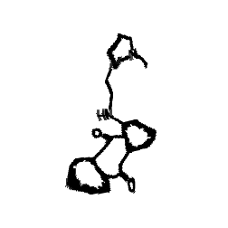 CN1CC=CN1CCNc1cccc2c1C(=O)c1ccccc1C2=O